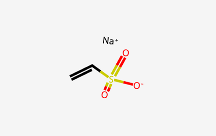 C=CS(=O)(=O)[O-].[Na+]